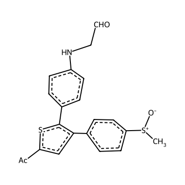 CC(=O)c1cc(-c2ccc([S+](C)[O-])cc2)c(-c2ccc(NCC=O)cc2)s1